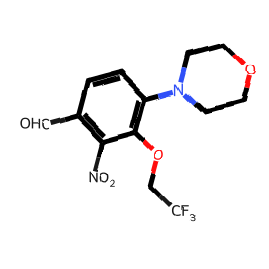 O=Cc1ccc(N2CCOCC2)c(OCC(F)(F)F)c1[N+](=O)[O-]